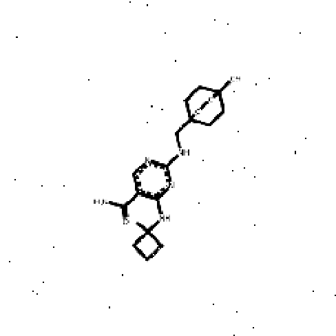 CC1(Nc2nc(NCC34CCC(O)(CC3)CC4)ncc2C(N)=O)CCC1